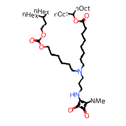 CCCCCCCCC(CCCCCCCC)OC(=O)CCCCCCCN(CCCCCCOC(=O)OCCC(CCCCCC)CCCCCC)CCCNc1c(NC)c(=O)c1=O